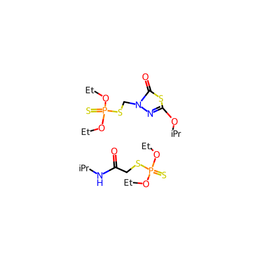 CCOP(=S)(OCC)SCC(=O)NC(C)C.CCOP(=S)(OCC)SCn1nc(OC(C)C)sc1=O